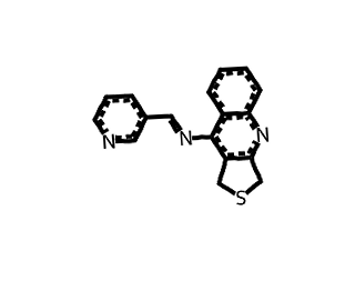 C(=Nc1c2c(nc3ccccc13)CSC2)c1cccnc1